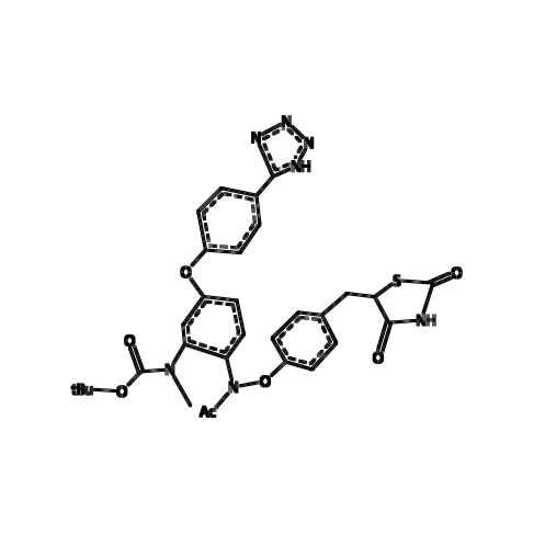 CC(=O)N(Oc1ccc(CC2SC(=O)NC2=O)cc1)c1ccc(Oc2ccc(-c3nnn[nH]3)cc2)cc1N(C)C(=O)OC(C)(C)C